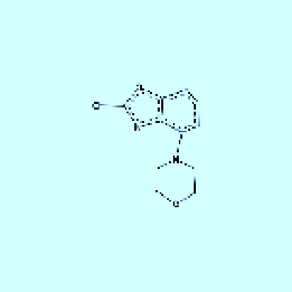 Clc1nc2c(N3CCOCC3)cccc2o1